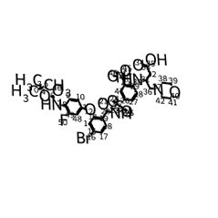 CC(C)(C)OC(=O)Nc1ccc(Oc2cc(Br)ccc2C(=O)NS(=O)(=O)c2ccc(NC(CC(=O)O)CN3CCOCC3)c([N+](=O)[O-])c2)cc1F